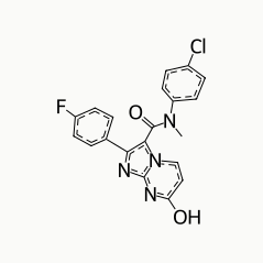 CN(C(=O)c1c(-c2ccc(F)cc2)nc2nc(O)ccn12)c1ccc(Cl)cc1